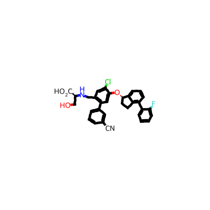 N#Cc1cccc(-c2cc(O[C@H]3CCc4c(-c5ccccc5F)cccc43)c(Cl)cc2CN[C@@H](CO)C(=O)O)c1